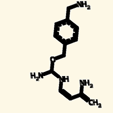 C=C(N)/C=C\NC(N)OCc1ccc(CN)cc1